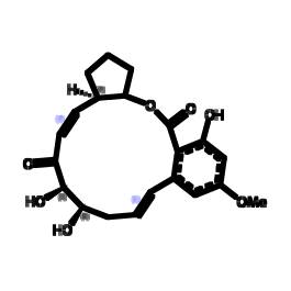 COc1cc(O)c2c(c1)/C=C/C[C@@H](O)[C@@H](O)C(=O)/C=C\[C@H]1CCCC1OC2=O